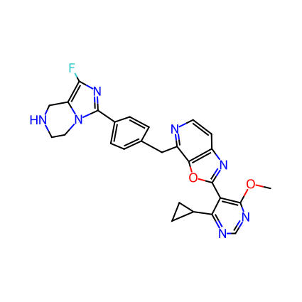 COc1ncnc(C2CC2)c1-c1nc2ccnc(Cc3ccc(-c4nc(F)c5n4CCNC5)cc3)c2o1